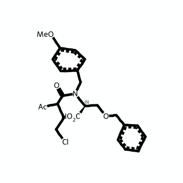 COc1ccc(CN(C(=O)C(CCCl)C(C)=O)[C@@H](COCc2ccccc2)C(=O)O)cc1